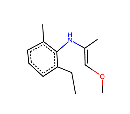 CCc1cccc(C)c1NC(C)=COC